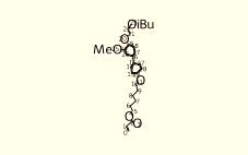 C=CC(=O)OCCCCCCOc1ccc(-c2ccc(OCCOCC(C)C)c(OC)c2)cc1